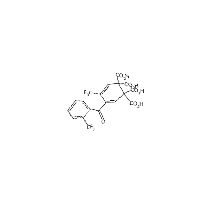 O=C(C1=CC(C(=O)O)(C(=O)O)C(C(=O)O)(C(=O)O)C=C1C(F)(F)F)c1ccccc1C(F)(F)F